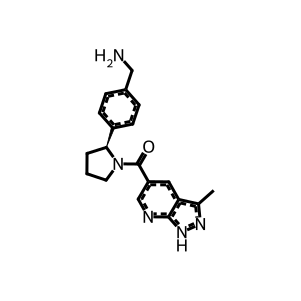 Cc1n[nH]c2ncc(C(=O)N3CCC[C@H]3c3ccc(CN)cc3)cc12